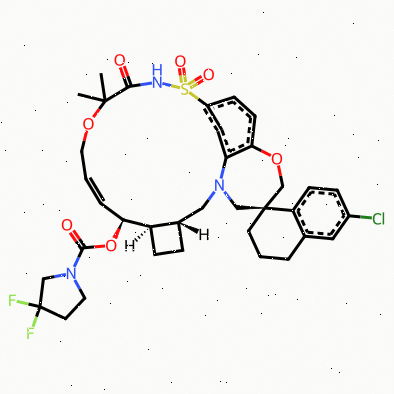 CC1(C)OCC=C[C@H](OC(=O)N2CCC(F)(F)C2)[C@@H]2CC[C@H]2CN2C[C@@]3(CCCc4cc(Cl)ccc43)COc3ccc(cc32)S(=O)(=O)NC1=O